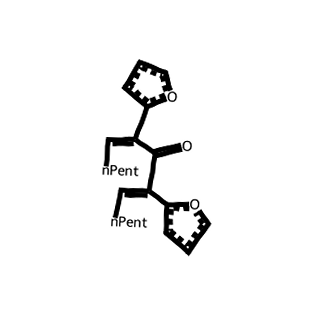 CCCCCC=C(C(=O)C(=CCCCCC)c1ccco1)c1ccco1